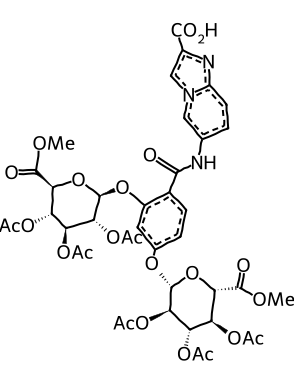 COC(=O)[C@H]1O[C@@H](Oc2ccc(C(=O)Nc3ccc4nc(C(=O)O)cn4c3)c(O[C@@H]3O[C@H](C(=O)OC)[C@@H](OC(C)=O)[C@H](OC(C)=O)[C@H]3OC(C)=O)c2)[C@H](OC(C)=O)[C@@H](OC(C)=O)[C@@H]1OC(C)=O